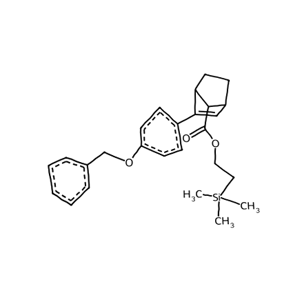 C[Si](C)(C)CCOC(=O)C1C2C=C(c3ccc(OCc4ccccc4)cc3)C1CC2